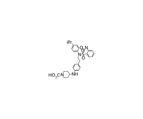 CC(C)c1ccc(N(CCc2ccc(NC3CCN(C(=O)O)CC3)cc2)S(=O)(=O)c2ccccc2[N+](=O)[O-])cc1